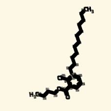 CCCCCCCCCCCC[n+]1cccc(C(=O)OCCCC)c1Cl